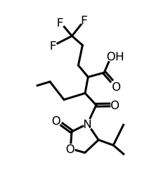 CCCC(C(=O)N1C(=O)OCC1C(C)C)C(CCC(F)(F)F)C(=O)O